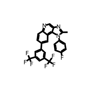 Cc1nc2cnc3ccc(-c4cc(C(F)(F)F)cc(C(F)(F)F)c4)cc3c2n1-c1ccc(F)cc1